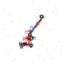 CC[N+](CC)(CC(=O)OCC(C(=O)OC1CC2[C@H]3O[C@H]3C(C1)[N+]2(C)CC)c1ccccc1)Cc1cc(C(O)CNCCCCCCOCCCCc2ccccc2)ccc1OP(=O)(O)O